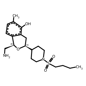 CCCCS(=O)(=O)N1CCC([C@@H]2Cc3c(ccc(C)c3O)[C@H](CN)O2)CC1